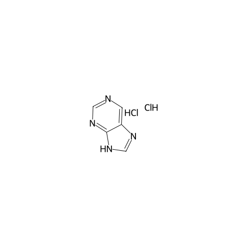 Cl.Cl.c1ncc2nc[nH]c2n1